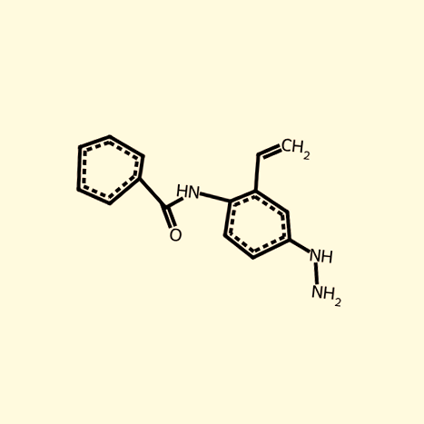 C=Cc1cc(NN)ccc1NC(=O)c1ccccc1